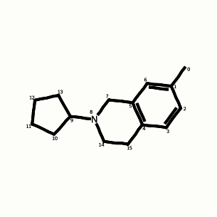 Cc1ccc2c(c1)CN(C1CCCC1)CC2